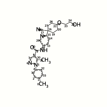 Cc1ccc(-n2ncc(C(=O)Nc3ccc(C4(C#N)CCC(OCCO)CC4)nc3)c2C)cc1